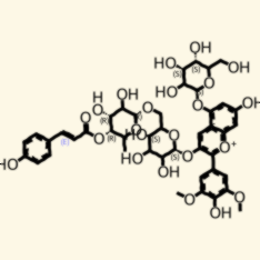 COc1cc(-c2[o+]c3cc(O)cc(O[C@@H]4OC(CO)[C@@H](O)[C@H](O)C4O)c3cc2O[C@@H]2OC(CO[C@@H]3OC(C)[C@H](OC(=O)/C=C/c4ccc(O)cc4)[C@H](O)C3O)[C@@H](O)C(O)C2O)cc(OC)c1O